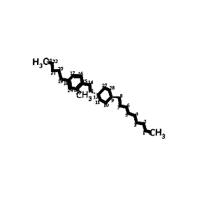 CCCCCCCCC[C@H]1CC[C@H](CCc2ccc(CCCCC)cc2C)CC1